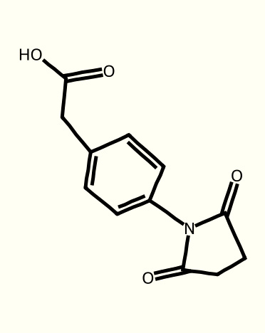 O=C(O)Cc1ccc(N2C(=O)CCC2=O)cc1